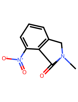 CN1Cc2cccc([N+](=O)[O-])c2C1=O